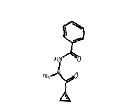 CC(C)(C)N(NC(=O)c1ccccc1)C(=O)C1=CC1